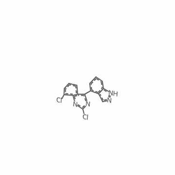 Clc1nc(-c2cccc3[nH]ncc23)c2cccc(Cl)c2n1